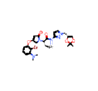 CC(C)C[C@@H](C(=O)Nc1ccn(C[C@@H]2COC(C)(C)O2)n1)N1CC(Oc2cccc(N(C)C)c2Br)=CC1=O